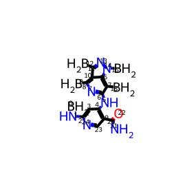 BNc1cc(Nc2nc(B)c3c(B)nn(B)c3c2B)c(C(N)=O)cn1